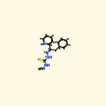 CCCNC(=S)N/N=C(\Cc1ccccc1)c1ccccn1